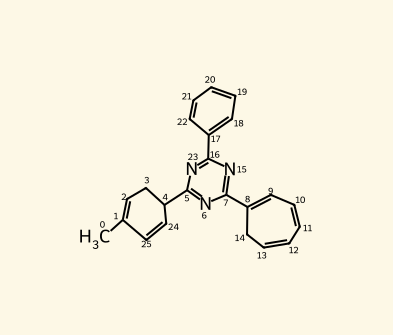 CC1=CCC(c2nc(C3=CC=CC=CC3)nc(-c3ccccc3)n2)C=C1